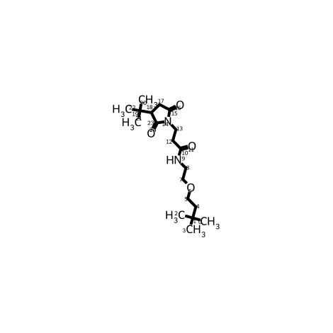 CC(C)(C)CCOCCNC(=O)CCN1C(=O)CC(C(C)(C)C)C1=O